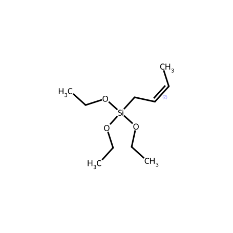 C/C=C\C[Si](OCC)(OCC)OCC